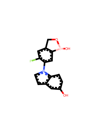 OB1OCc2cc(F)c(-n3ccc4cc(O)ccc43)cc21